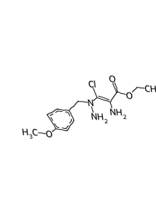 CCOC(=O)/C(N)=C(\Cl)N(N)Cc1ccc(OC)cc1